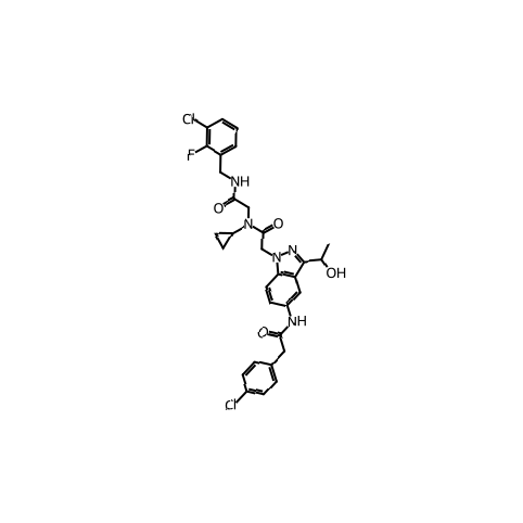 CC(O)c1nn(CC(=O)N(CC(=O)NCc2cccc(Cl)c2F)C2CC2)c2ccc(NC(=O)Cc3ccc(Cl)cc3)cc12